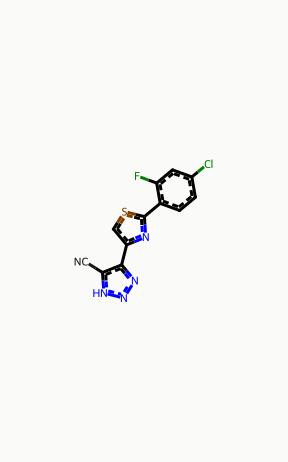 N#Cc1[nH]nnc1-c1csc(-c2ccc(Cl)cc2F)n1